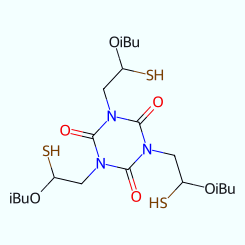 CC(C)COC(S)Cn1c(=O)n(CC(S)OCC(C)C)c(=O)n(CC(S)OCC(C)C)c1=O